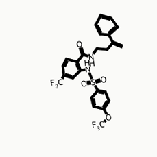 C=C(CCNC(=O)c1ccc(C(F)(F)F)cc1NS(=O)(=O)c1ccc(OC(F)(F)F)cc1)c1ccccc1